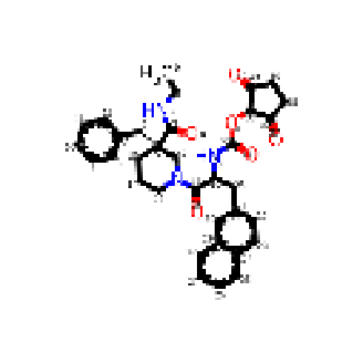 CCNC(=O)[C@]1(Cc2ccccc2)CCCN(C(=O)C(Cc2ccc3ccccc3c2)NC(=O)OC2C(=O)CCC2=O)C1